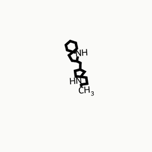 CC1CCC2(CCC(CC3CCC4(CCCCC4)N3)C2)N1